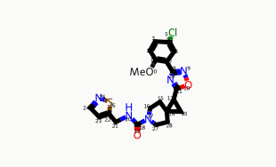 COc1ccc(Cl)cc1-c1noc(C2CC23CCN(C(=O)NCc2ccns2)CC3)n1